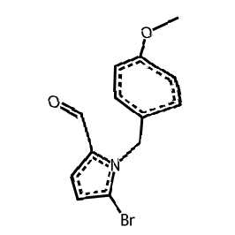 COc1ccc(Cn2c(Br)ccc2C=O)cc1